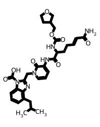 CC(C)Cc1cccc2c1nc(Cn1cccc(NC(=O)C(CC/C=C/C(N)=O)NC(=O)OCC3CCOC3)c1=O)n2C(=O)O